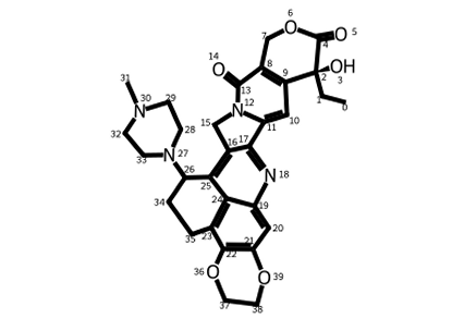 CC[C@@]1(O)C(=O)OCc2c1cc1n(c2=O)Cc2c-1nc1cc3c(c4c1c2C(N1CCN(C)CC1)CC4)OCCO3